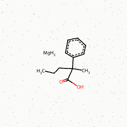 CCCC(C)(C(=O)O)c1ccccc1.[MgH2]